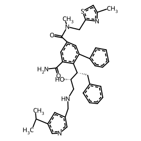 Cc1csc(CN(C)C(=O)c2cc(C(N)=O)c([C@H](Cc3ccccc3)[C@@H](O)CNCc3cncc(C(C)C)c3)c(-c3ccccc3)c2)n1